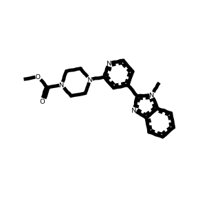 COC(=O)N1CCN(c2cc(-c3nc4ccccc4n3C)ccn2)CC1